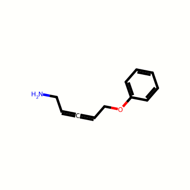 NCC=C=CCOc1ccccc1